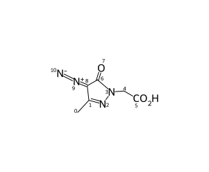 CC1=NN(CC(=O)O)C(=O)C1=[N+]=[N-]